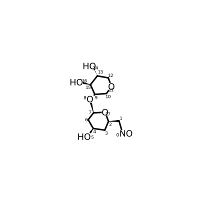 O=NC[C@H]1C[C@@H](O)C[C@@H](O[C@H]2COC[C@@H](O)[C@@H]2O)O1